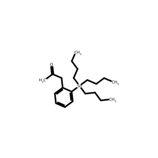 CCC[CH2][Sn]([CH2]CCC)([CH2]CCC)[c]1ccccc1CC(C)=O